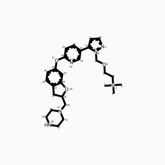 C[Si](C)(C)CCOCn1nccc1-c1ccc(Oc2ccc3c(c2)OC(CN2CCNCC2)C3)nc1